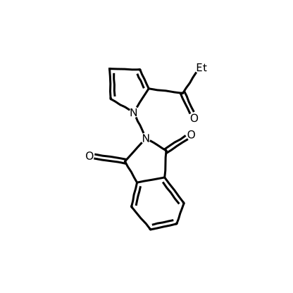 CCC(=O)c1cccn1N1C(=O)c2ccccc2C1=O